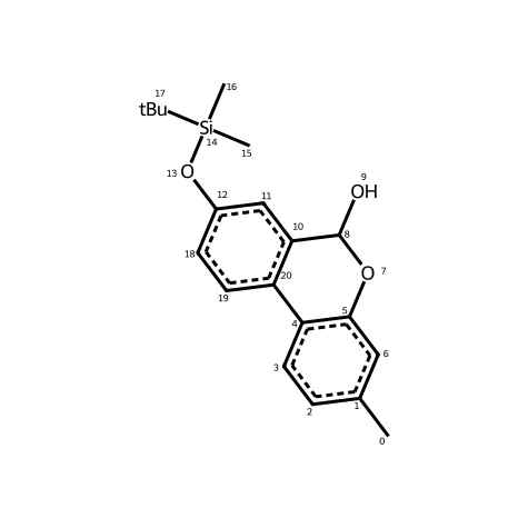 Cc1ccc2c(c1)OC(O)c1cc(O[Si](C)(C)C(C)(C)C)ccc1-2